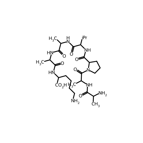 CC(N)C(=O)NC(C)C(=O)N1CCCC1C(=O)NC(C(=O)NC(C)C(=O)NC(C)C(=O)NC(CCCCN)C(=O)O)C(C)C